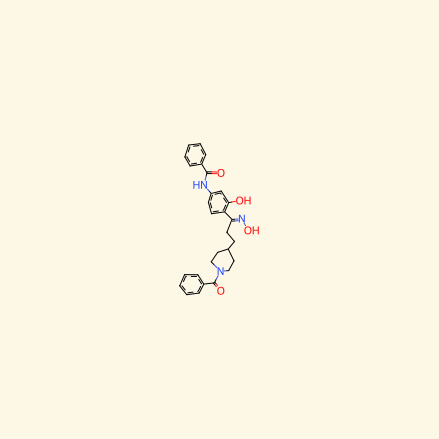 O=C(Nc1ccc(C(CCC2CCN(C(=O)c3ccccc3)CC2)=NO)c(O)c1)c1ccccc1